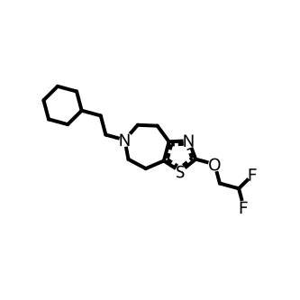 FC(F)COc1nc2c(s1)CCN(CCC1CCCCC1)CC2